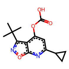 CC(C)(C)c1noc2nc(C3CC3)cc(OC(=O)O)c12